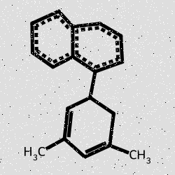 CC1=CC(C)=CC(c2cccc3ccccc23)[CH]1